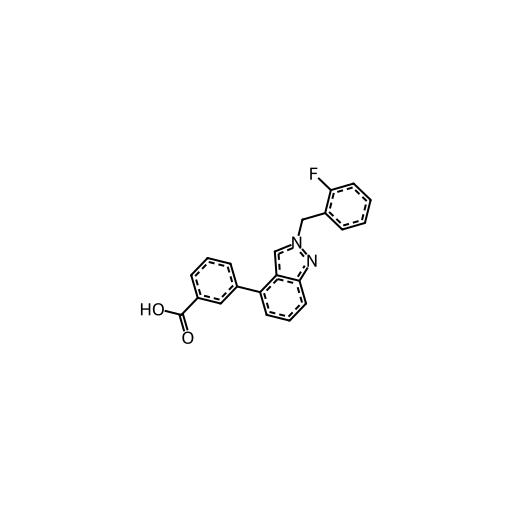 O=C(O)c1cccc(-c2cccc3nn(Cc4ccccc4F)cc23)c1